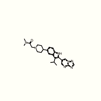 CC(C)c1c(-c2cnc3ncnn3c2)[nH]c2ccc(C3CCN(CC(=O)N(C)C)CC3)cc12